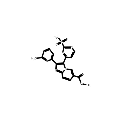 COC(=O)c1ccc2nc(-c3cccc(C)n3)c(-c3ccnc(S(C)(=O)=O)n3)n2c1